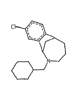 Clc1ccc2c(c1)C1CC2CCCN1CC1CCCCC1